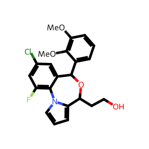 COc1cccc(C2OC(CCO)c3cccn3-c3c(F)cc(Cl)cc32)c1OC